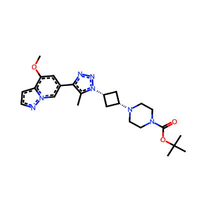 COc1cc(-c2nnn([C@H]3C[C@@H](N4CCN(C(=O)OC(C)(C)C)CC4)C3)c2C)cn2nccc12